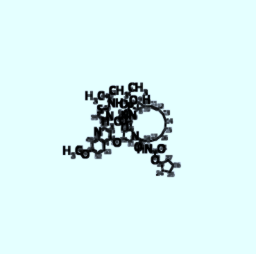 CCOP(=O)(OCC)[C@@]12C[C@H]1/C=C\CCCCC[C@H](NC(=O)OC1CCCC1)C(=O)N1C[C@H](Oc3cc(-c4csc(NC(C)C)n4)nc4cc(OC)ccc34)C[C@H]1C(=O)N2